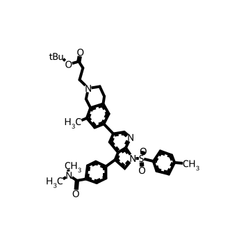 Cc1ccc(S(=O)(=O)n2cc(-c3ccc(C(=O)N(C)C)cc3)c3cc(-c4cc(C)c5c(c4)CCN(CCC(=O)OC(C)(C)C)C5)cnc32)cc1